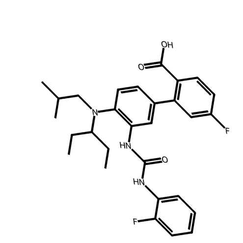 CCC(CC)N(CC(C)C)c1ccc(-c2cc(F)ccc2C(=O)O)cc1NC(=O)Nc1ccccc1F